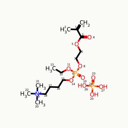 C=C(C)C(=O)OCCOP(=O)(OCC)OCCCC[N+](C)(C)C.O=P(O)(O)O